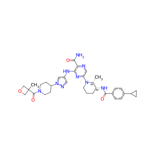 C[C@@H]1[C@H](NC(=O)c2ccc(C3CC3)cc2)CCCN1c1cnc(C(N)=O)c(Nc2cnn(C3CCN(C(=O)C4(C)COC4)CC3)c2)n1